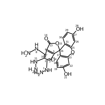 NNc1c(Cl)c2c(c(NN)c1NN)C(=O)OC21c2ccc(O)cc2Oc2cc(O)ccc21